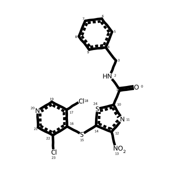 O=C(NCc1ccccc1)c1nc([N+](=O)[O-])c(Sc2c(Cl)cncc2Cl)s1